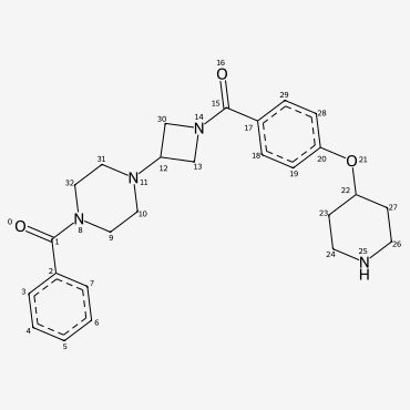 O=C(c1ccccc1)N1CCN(C2CN(C(=O)c3ccc(OC4CCNCC4)cc3)C2)CC1